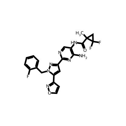 CC1(C(=O)Nc2cnc(-c3cc(-c4ccon4)n(Cc4ccccc4F)n3)nc2N)CC1(F)F